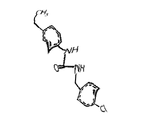 CCc1ccc(NC(=O)NCc2ccc(Cl)cc2)cc1